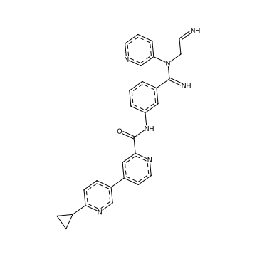 N=CCN(C(=N)c1cccc(NC(=O)c2cc(-c3ccc(C4CC4)nc3)ccn2)c1)c1cccnc1